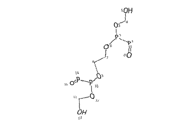 O=PP(OCO)OCCOP(OCO)P=O